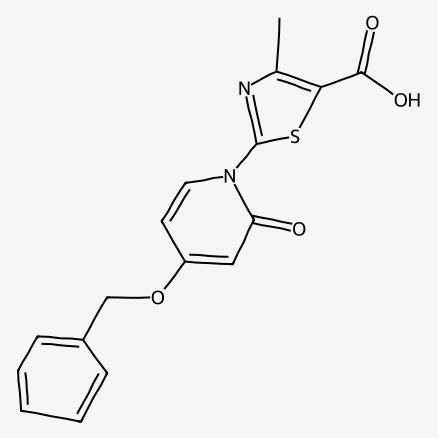 Cc1nc(-n2ccc(OCc3ccccc3)cc2=O)sc1C(=O)O